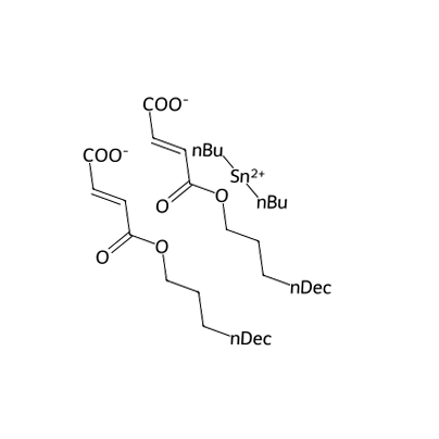 CCCCCCCCCCCCCOC(=O)C=CC(=O)[O-].CCCCCCCCCCCCCOC(=O)C=CC(=O)[O-].CCC[CH2][Sn+2][CH2]CCC